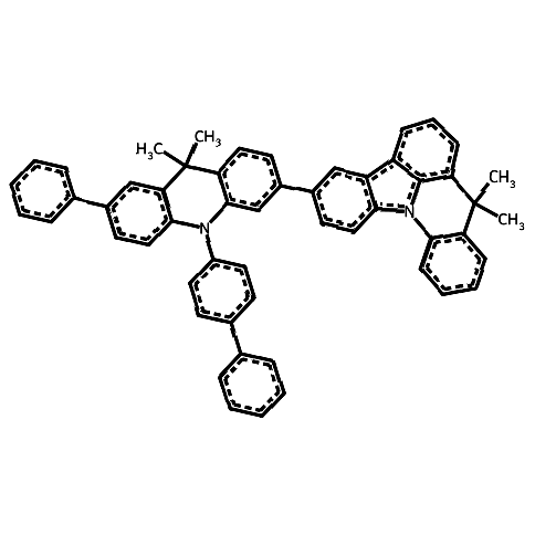 CC1(C)c2ccc(-c3ccc4c(c3)c3cccc5c3n4-c3ccccc3C5(C)C)cc2N(c2ccc(-c3ccccc3)cc2)c2ccc(-c3ccccc3)cc21